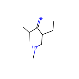 CCC(CNC)C(=N)C(C)C